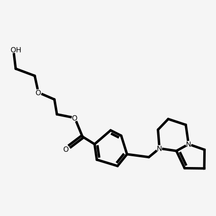 O=C(OCCOCCO)c1ccc(CN2CCCN3CCC=C32)cc1